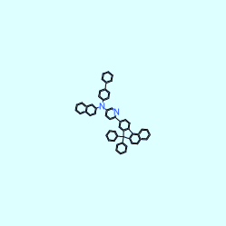 c1ccc(-c2ccc(N(c3ccc(-c4ccc5c(c4)C(c4ccccc4)(c4ccccc4)c4ccc6ccccc6c4-5)nc3)c3ccc4ccccc4c3)cc2)cc1